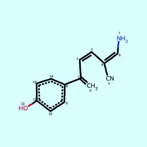 C=C(/C=C\C(C#N)=C/N)c1ccc(O)cc1